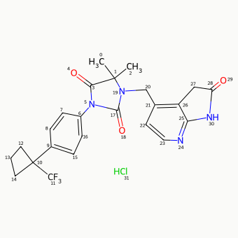 CC1(C)C(=O)N(c2ccc(C3(C(F)(F)F)CCC3)cc2)C(=O)N1Cc1ccnc2c1CC(=O)N2.Cl